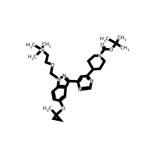 CC(C)(C)OC(=O)N1CCC(c2cc(-c3nn(COCC[Si](C)(C)C)c4ccc(OC5(C)CC5)cc34)ncn2)CC1